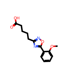 COc1ccccc1-c1nc(CCCCC(=O)O)no1